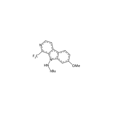 CCCCNn1c2cc(OC)ccc2c2ccnc(C(F)(F)F)c21